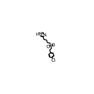 O=S(=O)(CCCCc1c[nH]cn1)CCc1ccc(Cl)cc1